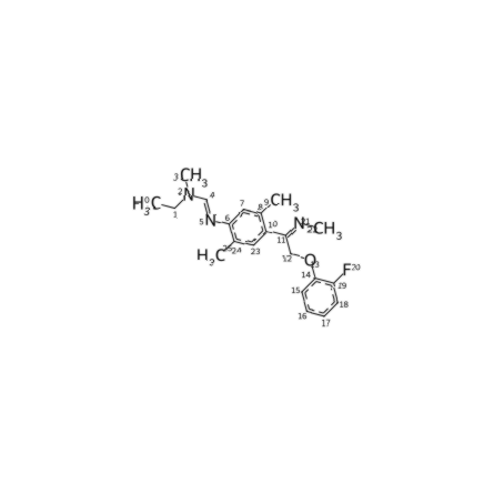 CCN(C)C=Nc1cc(C)c(C(COc2ccccc2F)=NC)cc1C